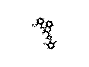 Cc1cccc(F)c1N1CC(N2Cc3ccccc3N(Cc3ccccc3C(F)(F)F)C2=O)C1